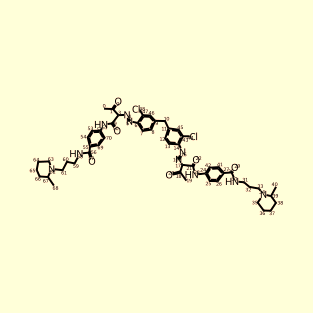 CC(=O)C(N=Nc1ccc(Cc2ccc(N=NC(C(C)=O)C(=O)Nc3ccc(C(=O)NCCCN4CCCCC4C)cc3)c(Cl)c2)cc1Cl)C(=O)Nc1ccc(C(=O)NCCCN2CCCCC2C)cc1